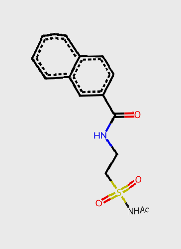 CC(=O)NS(=O)(=O)CCNC(=O)c1ccc2ccccc2c1